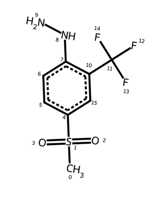 CS(=O)(=O)c1ccc(NN)c(C(F)(F)F)c1